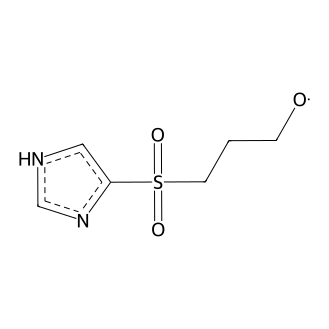 [O]CCCS(=O)(=O)c1c[nH]cn1